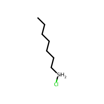 CCCCCCC[SiH2]Cl